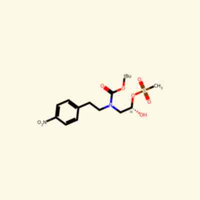 CC(C)(C)OC(=O)N(CCc1ccc([N+](=O)[O-])cc1)C[C@@H](O)OS(C)(=O)=O